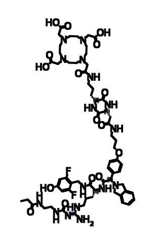 CCC(=O)NCCNC(=O)/N=C(/N)NCCC[C@@H](NC(=O)[C@H](c1ccc(OCCCNC(=O)C[C@H]2NC(=O)[C@@H](CCCNC(=O)CN3CCN(CC(=O)O)CCN(CC(=O)O)CCN(CC(=O)O)CC3)NC2=O)cc1)N1Cc2ccccc2C1)C(=O)NCc1c(F)cc(O)cc1F